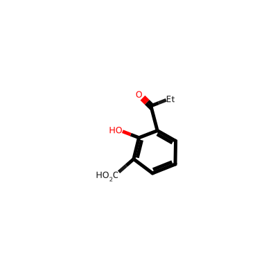 CCC(=O)c1cccc(C(=O)O)c1O